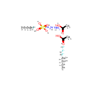 CC(=O)O.CC(=O)O.O=S(=O)([O-])[O-].[F-].[F-].[F-].[F-].[NH2-].[NH2-].[Zn+2].[Zn+2].[Zn+2].[Zn+2].[Zn].[Zn].[Zn].[Zn]